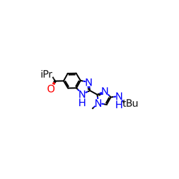 CC(C)C(=O)c1ccc2nc(-c3nc(NC(C)(C)C)cn3C)[nH]c2c1